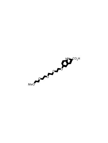 COCCOCCOCCOCCOc1ccc2[nH]c(C(=O)O)cc2c1